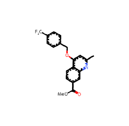 COC(=O)c1ccc2c(OCc3ccc(C(F)(F)F)cc3)cc(C)nc2c1